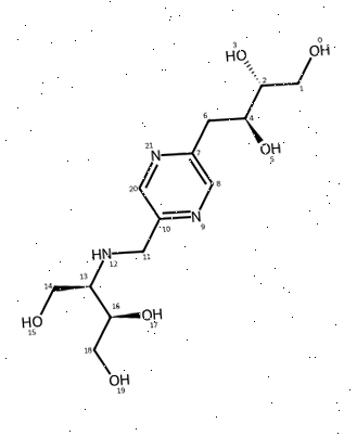 OC[C@@H](O)[C@@H](O)Cc1cnc(CN[C@H](CO)[C@@H](O)CO)cn1